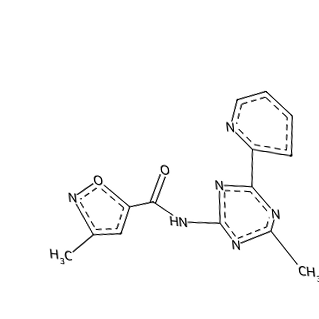 Cc1cc(C(=O)Nc2nc(C)nc(-c3ccccn3)n2)on1